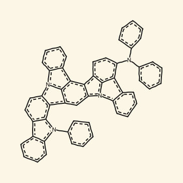 c1ccc(N(c2ccccc2)c2ccc3c4c5c6ccccc6n6c7ccc8c9ccccc9n(-c9ccccc9)c8c7c(cc4n4c7ccccc7c2c34)c56)cc1